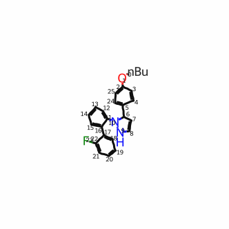 CCCCOc1ccc(C2C=CNN2c2ccccc2-c2ccccc2F)cc1